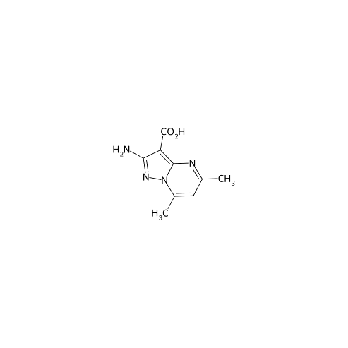 Cc1cc(C)n2nc(N)c(C(=O)O)c2n1